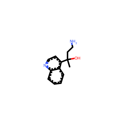 CC(O)(CCN)c1ccnc2ccccc12